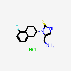 Cl.NCc1c[nH]c(=S)n1[C@H]1CCc2c(F)cccc2C1